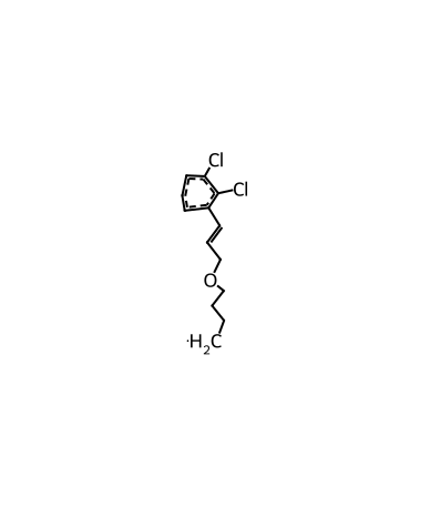 [CH2]CCCOCC=Cc1cccc(Cl)c1Cl